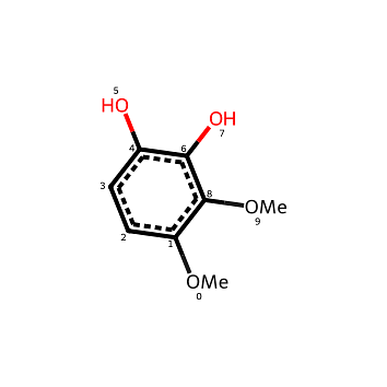 COc1ccc(O)c(O)c1OC